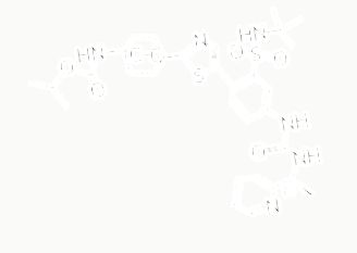 CC(C)OC(=O)NC12CCC(c3ncc(-c4ccc(NC(=O)N[C@@H](C)c5ccccn5)cc4S(=O)(=O)NC(C)(C)C)s3)(CC1)CC2